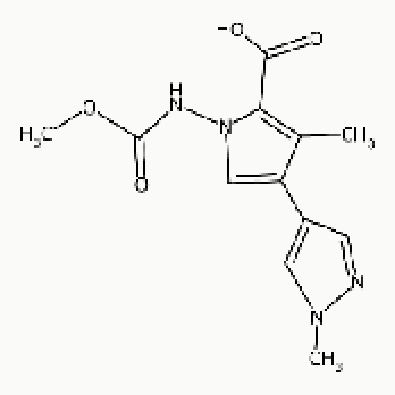 COC(=O)Nn1cc(-c2cnn(C)c2)c(C)c1C(=O)O